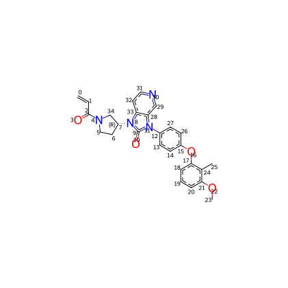 C=CC(=O)N1CC[C@@H](n2c(=O)n(-c3ccc(Oc4cccc(OC)c4C)cc3)c3cnccc32)C1